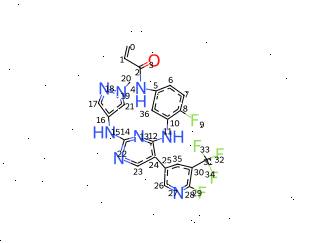 C=CC(=O)Nc1ccc(F)c(Nc2nc(Nc3cnn(C)c3)ncc2-c2cnc(F)c(C(F)(F)F)c2)c1